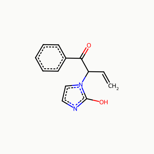 C=CC(C(=O)c1ccccc1)n1ccnc1O